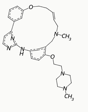 CN1CCN(CCOc2ccc3cc2CN(C)C/C=C/CCOc2cccc(c2)-c2ccnc(n2)N3)CC1